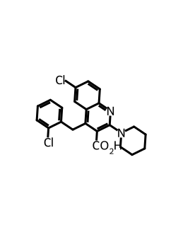 O=C(O)c1c(N2CCCCC2)nc2ccc(Cl)cc2c1Cc1ccccc1Cl